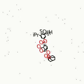 CC(C)c1cc(OC(=O)[C@@H]2C3CC4C(OC(=O)C42)C3OC(=O)C23CC4CC(C2)C(=O)C(C4)C3)cc(C(C)C)c1S(=O)(=O)O